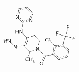 CC1C(N=N)=C(Nc2ncccn2)CCN1C(=O)c1cccc(C(F)(F)F)c1Cl